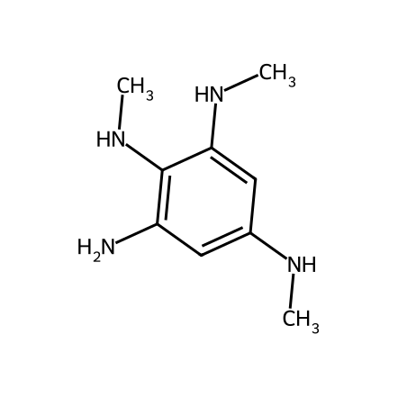 CNc1cc(N)c(NC)c(NC)c1